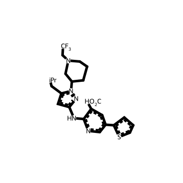 CC(C)Cc1cc(Nc2ncc(-c3cccs3)cc2C(=O)O)nn1C1CCCN(CC(F)(F)F)C1